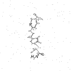 CS[C@H](Cc1ccc(OCCc2ccc(C(C)=O)cn2)cc1)C(N)=O